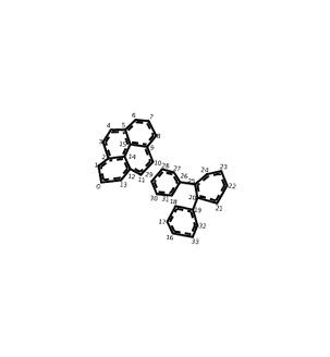 c1cc2ccc3cccc4ccc(c1)c2c34.c1ccc(-c2ccccc2-c2ccccc2)cc1